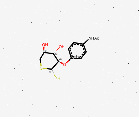 CC(=O)Nc1ccc(O[C@@H]2[C@@H](O)[C@H](O)CS[C@H]2S)cc1